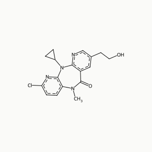 CN1C(=O)c2cc(CCO)cnc2N(C2CC2)c2nc(Cl)ccc21